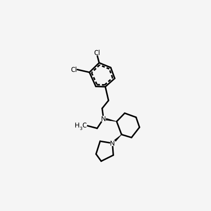 CCN(CCc1ccc(Cl)c(Cl)c1)[C@H]1CCCC[C@H]1N1CCCC1